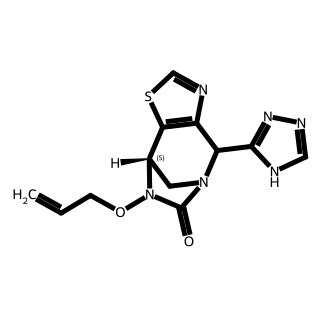 C=CCON1C(=O)N2C[C@H]1c1scnc1C2c1nnc[nH]1